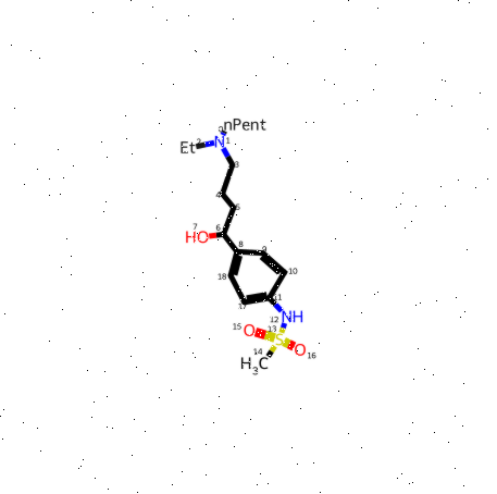 CCCCCN(CC)CCCC(O)c1ccc(NS(C)(=O)=O)cc1